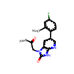 CNC(=O)Cn1c(=O)[nH]c2ncc(-c3ccc(F)cc3OC)cc21